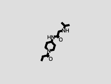 CCC(=O)N1CCC(NC(=O)CNC(C)C)CC1